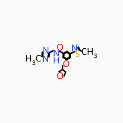 Cc1cnc(CNC(=O)c2cc(OCC3CCOC3)cc(-c3ncc(C)s3)c2)cn1